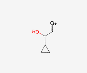 [CH]=CC(O)C1CC1